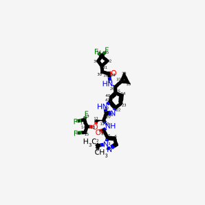 CC(C)n1nccc1C(=O)N[C@@H](COC(CF)C(F)F)c1nc2ccc([C@H](NC(=O)CC3CC(F)(F)C3)C3CC3)cc2[nH]1